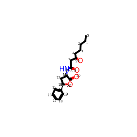 CCCCCC(=O)CC(=O)N[C@@H]1C[C@H](c2ccccc2)OC1=O